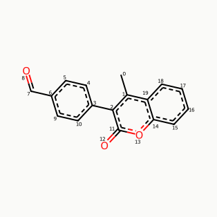 Cc1c(-c2ccc(C=O)cc2)c(=O)oc2ccccc12